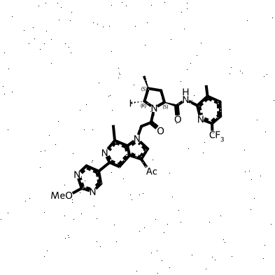 COc1ncc(-c2cc3c(C(C)=O)cn(CC(=O)N4[C@H](I)[C@@H](C)C[C@H]4C(=O)Nc4nc(C(F)(F)F)ccc4C)c3c(C)n2)cn1